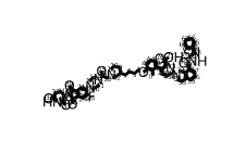 Cc1c(OCCCCC2CCCN(CC(=O)N3CCN(c4cc5c(cc4F)C(=O)N(C4CCC(=O)NC4=O)C5=O)CC3)C2)cccc1-c1ccc(N2CCc3cccc(C(=O)Nc4nc5ccccc5s4)c3C2)nc1C(=O)O